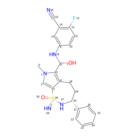 Cn1cc2c(c1C(O)Nc1ccc(F)c(C#N)c1)CC[C@H](c1ccccc1)NS2(=N)=O